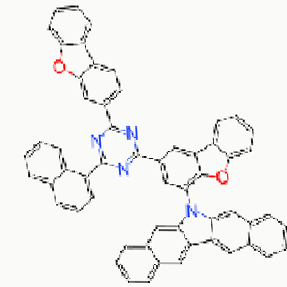 c1ccc2cc3c(cc2c1)c1cc2ccccc2cc1n3-c1cc(-c2nc(-c3ccc4c(c3)oc3ccccc34)nc(-c3cccc4ccccc34)n2)cc2c1oc1ccccc12